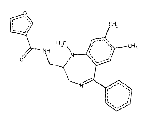 Cc1cc2c(cc1C)N(C)C(CNC(=O)c1ccoc1)CN=C2c1ccccc1